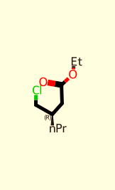 CCC[C@@H](CCl)CC(=O)OCC